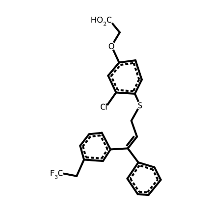 O=C(O)COc1ccc(SCC=C(c2ccccc2)c2cccc(CC(F)(F)F)c2)c(Cl)c1